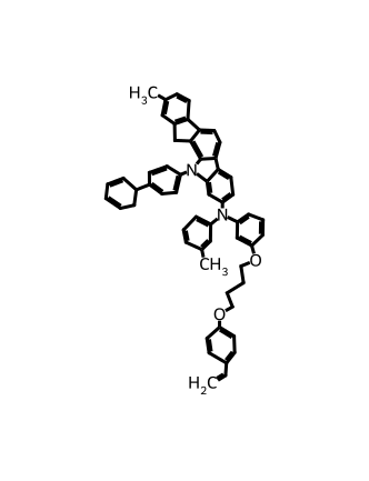 C=Cc1ccc(OCCCCOc2cccc(N(c3cccc(C)c3)c3ccc4c5ccc6c(c5n(-c5ccc(C7C=CC=CC7)cc5)c4c3)Cc3cc(C)ccc3-6)c2)cc1